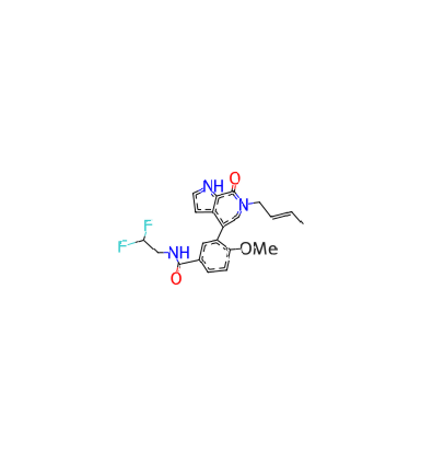 CC=CCn1cc(-c2cc(C(=O)NCC(F)F)ccc2OC)c2cc[nH]c2c1=O